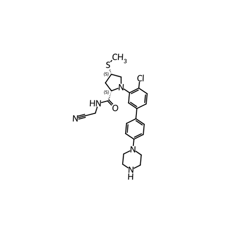 CS[C@H]1C[C@@H](C(=O)NCC#N)N(c2cc(-c3ccc(N4CCNCC4)cc3)ccc2Cl)C1